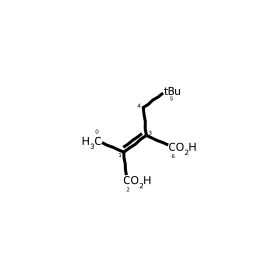 C/C(C(=O)O)=C(\CC(C)(C)C)C(=O)O